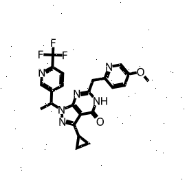 COc1ccc(Cc2nc3c(c(C4CC4)nn3C(C)c3ccc(C(F)(F)F)nc3)c(=O)[nH]2)nc1